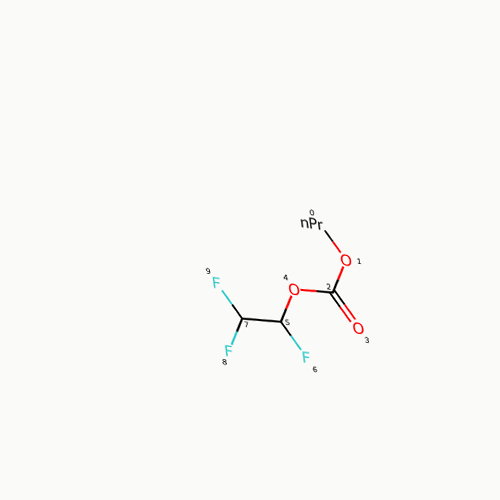 CCCOC(=O)OC(F)C(F)F